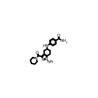 CCCn1nc(C(=O)N2CCCCC2)c2c1CCC(Nc1ccc(C(N)=O)cc1)C2